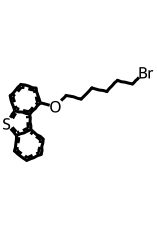 BrCCCCCCOc1cccc2sc3ccccc3c12